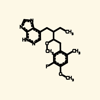 CCC(Cc1cn[nH]c2ncnc1-2)C(Cc1cc(F)c(OC)cc1C)OC